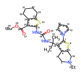 CCN1CCc2c(sc(-n3cccc3)c2C(C)(C)NC(=O)Nc2sc3c(c2C(=O)OC(C)(C)C)CCCC3)C1